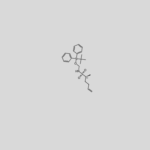 C=CCC[C@H](C)S(=O)(=O)NCO[Si](c1ccccc1)(c1ccccc1)C(C)(C)C